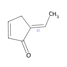 C/C=C1\CC=CC1=O